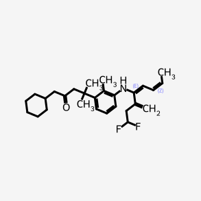 C=C(CC(F)F)/C(=C\C=C/C)Nc1cccc(C(C)(C)CC(=O)CC2CCCCC2)c1C